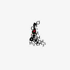 CC(C)(C)OC(=O)NC(C(=O)O[C@H]1C[N+]2(CC(=O)c3ccc(Cl)s3)CCC1CC2)c1ccccc1